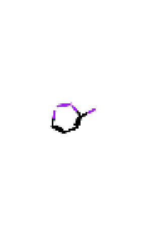 IC1=CC=C[I][I]1